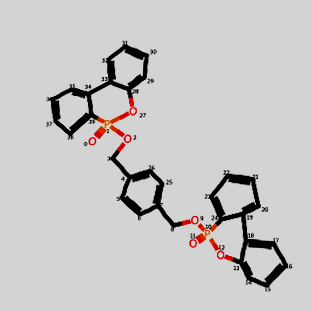 O=P1(OCc2ccc(COP3(=O)Oc4ccccc4-c4ccccc43)cc2)Oc2ccccc2-c2ccccc21